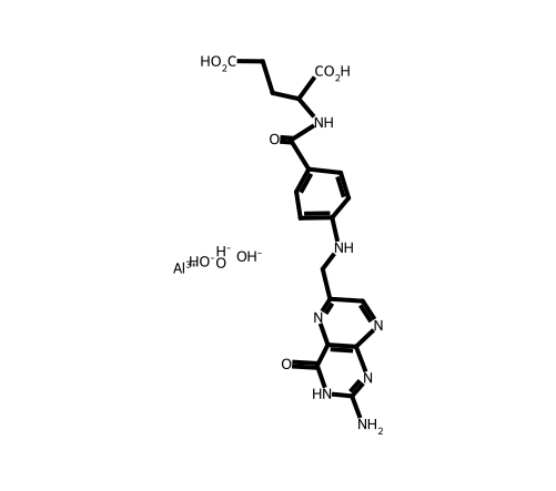 Nc1nc2ncc(CNc3ccc(C(=O)NC(CCC(=O)O)C(=O)O)cc3)nc2c(=O)[nH]1.[Al+3].[OH-].[OH-].[OH-]